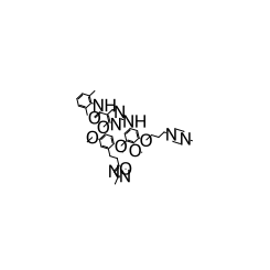 COc1cc(CCc2nc(C)no2)ccc1Oc1nc(Nc2cc(OC)c(OC)c(OCCCN3CCN(C)CC3)c2)ncc1C(=O)Nc1c(C)cccc1C